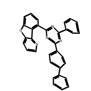 c1ccc(-c2ccc(-c3nc(-c4ccccc4)nc(-c4cccc5oc6cccnc6c45)n3)cc2)cc1